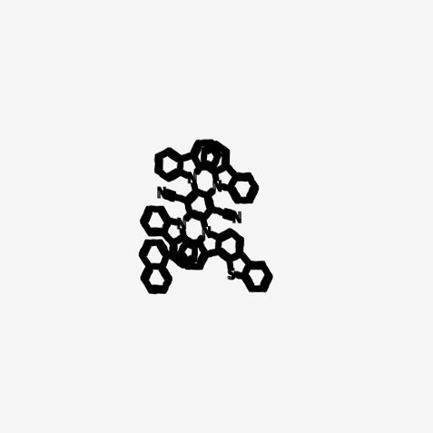 N#Cc1c(-n2c3ccccc3c3ccccc32)c(-n2c3ccccc3c3ccccc32)c(C#N)c(-n2c3cc(-c4cccc5ccccc45)ccc3c3c4sc5ccccc5c4ccc32)c1-n1c2ccccc2c2ccccc21